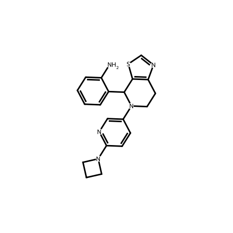 Nc1ccccc1C1c2scnc2CCN1c1ccc(N2CCC2)nc1